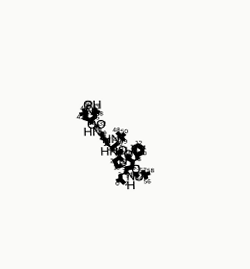 CC(C)C[C@@H](/C=C/[C@H](Cc1ccccc1)C(=O)N1CCC[C@H]1C(=O)N[C@@H](CCCCNC(=O)OC1CC(C)(C)N(O)C(C)(C)C1)CNC(C)(C)C)NC(=O)OC(C)(C)C